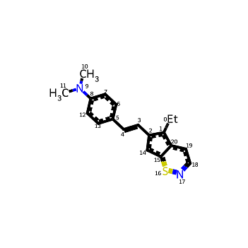 CCc1c(C=Cc2ccc(N(C)C)cc2)cc2snccc1-2